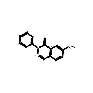 COc1ccc2cnn(-c3ccccc3)c(=O)c2c1